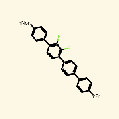 CCCCCCCCCc1ccc(-c2ccc(-c3ccc(-c4ccc(CCC)cc4)cc3)c(F)c2F)cc1